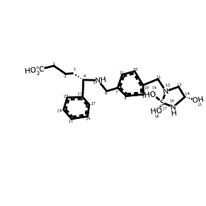 O=C(O)CCC[C@H](NCc1ccc(CN2C[C@H](O)NS2(O)O)cc1)c1ccccc1